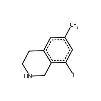 FC(F)(F)c1cc(I)c2c(c1)CCNC2